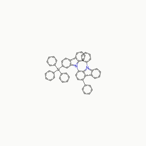 c1ccc(-c2ccc(-n3c4ccccc4c4ccc([Si](c5ccccc5)(c5ccccc5)c5ccccc5)cc43)c3c2c2ccccc2n3-c2ccccc2)cc1